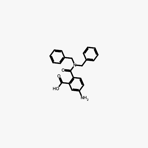 Nc1ccc(C(=O)N(Cc2ccccc2)Cc2ccccc2)c(C(=O)O)c1